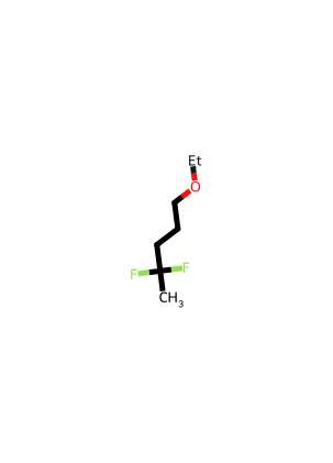 [CH2]COCCCC(C)(F)F